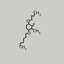 CCCCCCOC1CCC(OCCCC)C(F)C1C